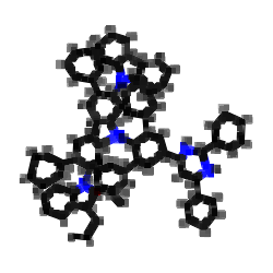 C=Cc1c(/C=C\C)c2ccccc2n1-c1cc2c(cc1-c1ccccc1)c1cc(-c3ccccc3)c(-n3c4ccccc4c4ccccc43)cc1n2-c1c(-c2ccccc2)cc(-c2cc(-c3ccccc3)nc(-c3ccccc3)n2)cc1-c1ccccc1